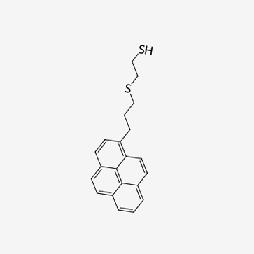 SCCSCCCc1ccc2ccc3cccc4ccc1c2c34